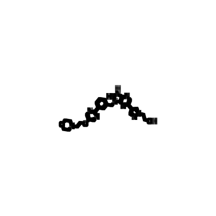 OCCn1cc(-c2cnc3c(n2)N(Cc2cccc(-c4ncc(OCCN5CCOCC5)cn4)c2)NN3)cn1